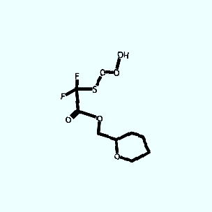 O=C(OCC1CCCCO1)C(F)(F)SOOO